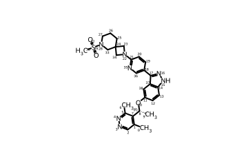 Cc1cnnc(C)c1[C@@H](C)Oc1ccc2[nH]nc(-c3ccc(N4CC5(CCCN(S(C)(=O)=O)C5)C4)nc3)c2c1